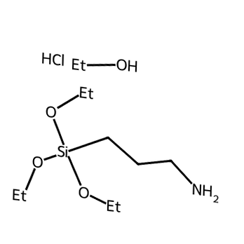 CCO.CCO[Si](CCCN)(OCC)OCC.Cl